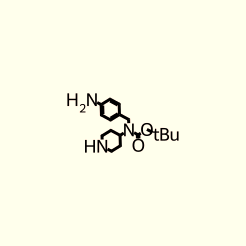 CC(C)(C)OC(=O)N(Cc1ccc(N)cc1)C1CCNCC1